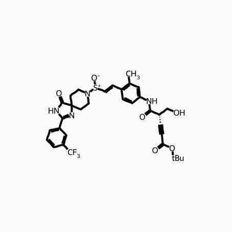 Cc1cc(NC(=O)[C@@H](C#CC(=O)OC(C)(C)C)CO)ccc1/C=C/[S+]([O-])N1CCC2(CC1)N=C(c1cccc(C(F)(F)F)c1)NC2=O